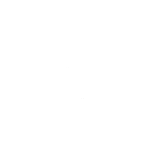 CC#CC(C)OC(=O)C1COS(=O)O1